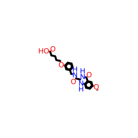 COc1ccc2c(c1)C(=O)NC(C(=O)NCc1cccc(OCCCCC(=O)O)c1)N2